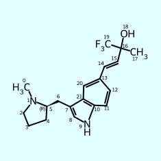 CN1CCC[C@@H]1Cc1c[nH]c2ccc(C=CC(C)(O)C(F)(F)F)cc12